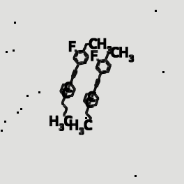 CCCC12CCC(C#Cc3ccc(CC)c(F)c3)(CC1)CC2.CCCCC12CCC(C#Cc3ccc(CC)c(F)c3)(CC1)CC2